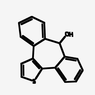 OC1c2ccccc2-c2ccsc2-c2ccccc21